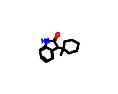 CC1(C2C(=O)Nc3ccccc32)CCCCC1